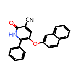 N#Cc1cc(Oc2ccc3ccccc3c2)c(-c2ccccc2)[nH]c1=O